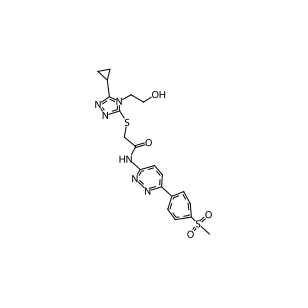 CS(=O)(=O)c1ccc(-c2ccc(NC(=O)CSc3nnc(C4CC4)n3CCO)nn2)cc1